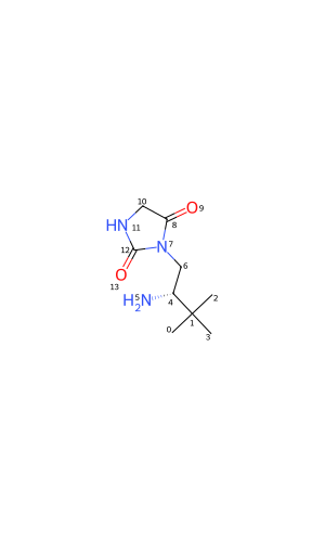 CC(C)(C)[C@H](N)CN1C(=O)CNC1=O